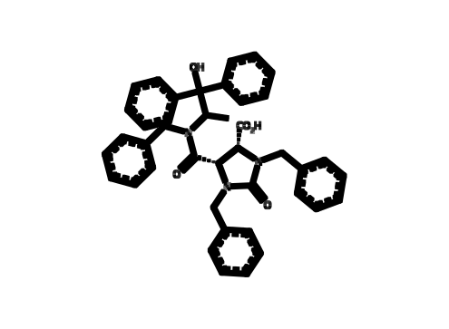 CC(N(Cc1ccccc1)C(=O)[C@@H]1[C@H](C(=O)O)N(Cc2ccccc2)C(=O)N1Cc1ccccc1)C(O)(c1ccccc1)c1ccccc1